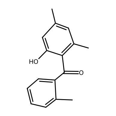 Cc1cc(C)c(C(=O)c2ccccc2C)c(O)c1